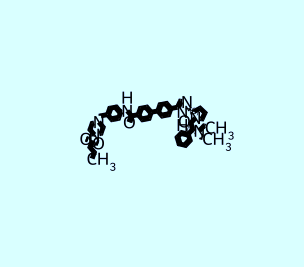 CCCS(=O)(=O)N1CCN(Cc2ccc(NC(=O)c3ccc(-c4ccc(-c5cnc([C@@H]6CCCN6C(=O)[C@@H](c6ccccc6)N(CC)CC)[nH]5)cc4)cc3)cc2)CC1